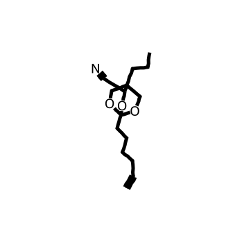 C#CCCCCC12OCC(CCC)(CO1)C(C#N)O2